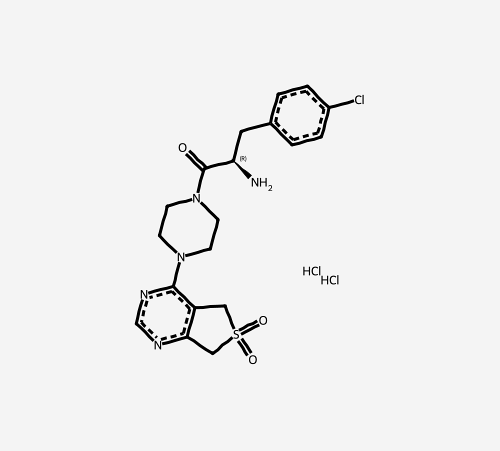 Cl.Cl.N[C@H](Cc1ccc(Cl)cc1)C(=O)N1CCN(c2ncnc3c2CS(=O)(=O)C3)CC1